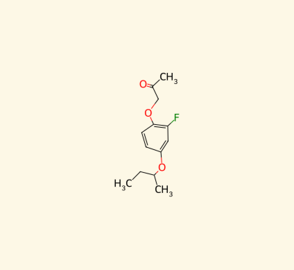 CCC(C)Oc1ccc(OCC(C)=O)c(F)c1